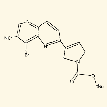 CC(C)(C)OC(=O)N1CC=C(c2ccc3ncc(C#N)c(Br)c3n2)C1